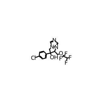 CC(COC(F)(F)C(F)F)C(O)(Cn1cncn1)c1ccc(Cl)cc1